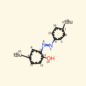 CC(C)(C)c1ccc(/N=N/c2cc(C(C)(C)C)ccc2O)cc1